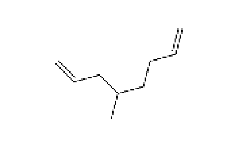 C=CCCC(C)CC=C